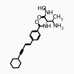 C[C@@H](N)[C@H](NC(=O)c1ccc(/C=C/C#CC2CCCCC2)cc1)C(=O)NO